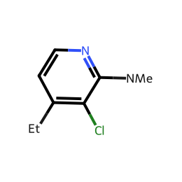 CCc1ccnc(NC)c1Cl